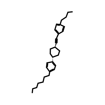 CCCCCCCc1ccc([C@H]2CC[C@H](C#Cc3ccc(CCCC)cc3)CC2)cc1